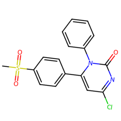 CS(=O)(=O)c1ccc(-c2cc(Cl)nc(=O)n2-c2ccccc2)cc1